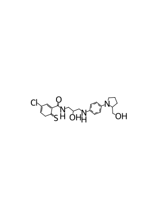 O=C(NCC(O)CNc1ccc(N2CCCC2CO)cc1)C1=CC(Cl)=CCC1=S